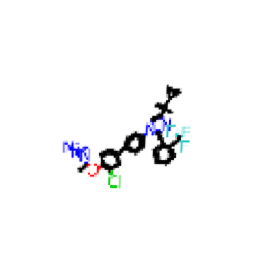 CC(N=[N+]=[N-])Oc1ccc(-c2ccc(-n3cc(C(C)(C)C4CC4)nc3-c3ccccc3C(F)(F)F)cc2)cc1Cl